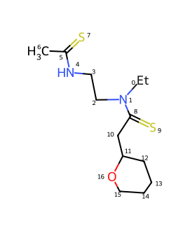 CCN(CCNC(C)=S)C(=S)CC1CCCCO1